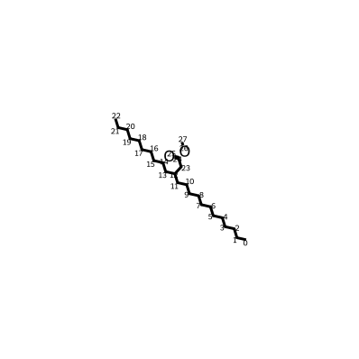 CCCCCCCCCCCCC(CCCCCCCCCC)CC(=O)OC